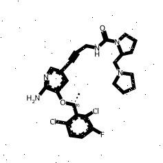 C[C@@H](Oc1cc(C#CCNC(=O)N2CCCC2CN2CCCC2)cnc1N)c1c(Cl)ccc(F)c1Cl